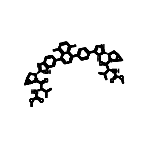 COC(=O)N[C@H](C(=O)N1C2CC2C[C@@H]1c1nc2ccc(-c3ccc(-c4ccc(-c5cnc([C@@H]6CC7CC7N6C(=O)[C@@H](NC(=O)OC)C(C)C)[nH]5)cc4)c4c(C)ccc(C)c34)cc2[nH]1)C(C)C